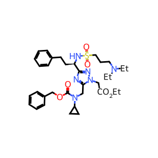 CCOC(=O)Cn1nc([C@@H](CCc2ccccc2)NS(=O)(=O)CCCN(CC)CC)nc1CN(C(=O)OCc1ccccc1)C1CC1